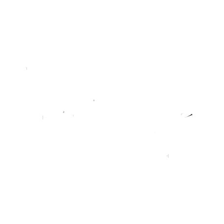 C=C1/C(=C\C=C2CCC[C@@]3(C)C2CC[C@@H]3[C@H](C)CCCC(C)C)C[C@@H](O)C[C@@H]1O